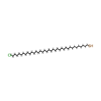 SCCCCCCCCCCCCCCCCCCCCCCCCCCCCCCCCCCCCCl